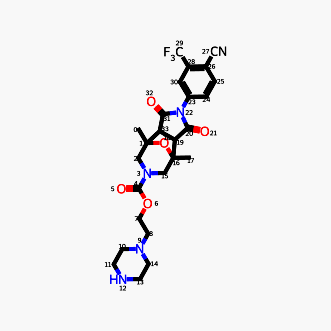 CC12CN(C(=O)OCCN3CCNCC3)CC(C)(O1)C1C(=O)N(c3ccc(C#N)c(C(F)(F)F)c3)C(=O)C12